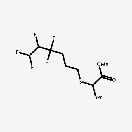 CCCC(SCCCC(F)(F)C(F)C(F)F)C(=O)OC